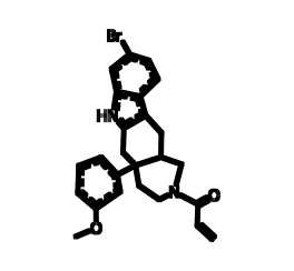 C=CC(=O)N1CCC2(c3cccc(OC)c3)Cc3[nH]c4cc(Br)ccc4c3CC2C1